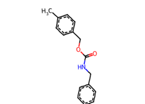 Cc1ccc(COC(=O)NCc2ccccc2)cc1